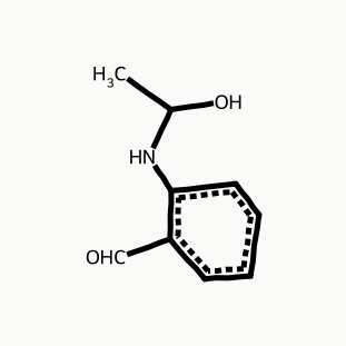 CC(O)Nc1ccccc1C=O